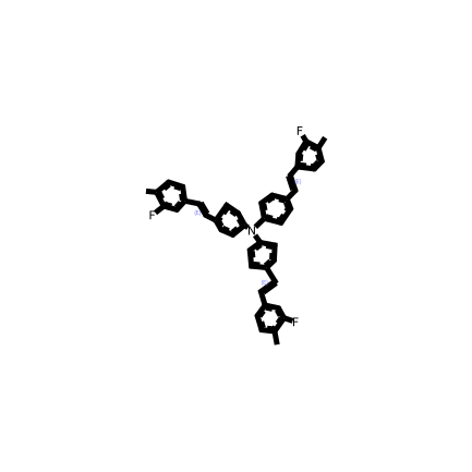 Cc1ccc(/C=C/c2ccc(N(c3ccc(/C=C/c4ccc(C)c(F)c4)cc3)c3ccc(/C=C/c4ccc(C)c(F)c4)cc3)cc2)cc1F